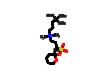 CO[Si](CCC[N+](C)(C)CCCS(=O)(=O)OC1([SiH3])CCCCO1)(OC)OC